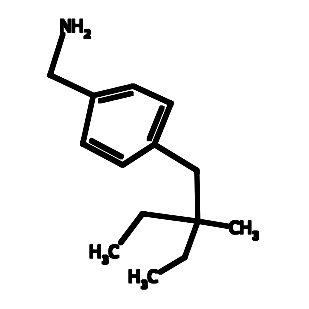 CCC(C)(CC)Cc1ccc(CN)cc1